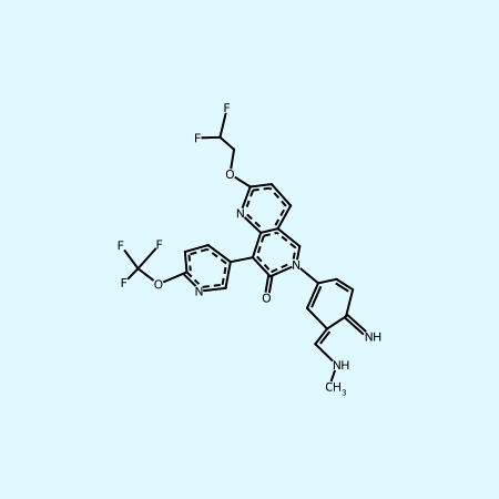 CN/C=C1/C=C(n2cc3ccc(OCC(F)F)nc3c(-c3ccc(OC(F)(F)F)nc3)c2=O)C=CC1=N